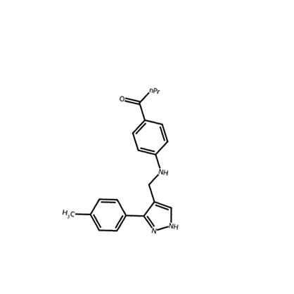 CCCC(=O)c1ccc(NCc2c[nH]nc2-c2ccc(C)cc2)cc1